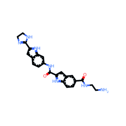 NCCNC(=O)c1ccc2[nH]c(C(=O)Nc3ccc4cc(C5=NCCN5)[nH]c4c3)cc2c1